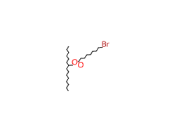 CCCCCCCCC(CCCCCC)COC(=O)CCCCCCCCBr